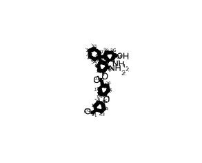 Nc1cc(C2(c3ccc(OC(=O)c4ccc(Oc5ccc(C=O)cc5)cc4)c(N)c3)CCCCC2)ccc1O